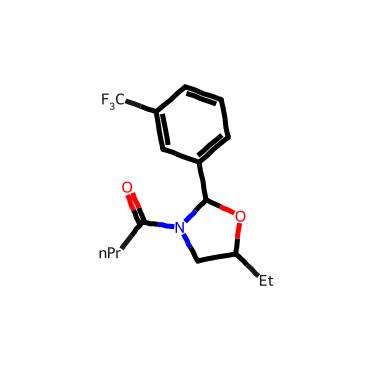 CCCC(=O)N1CC(CC)OC1c1cccc(C(F)(F)F)c1